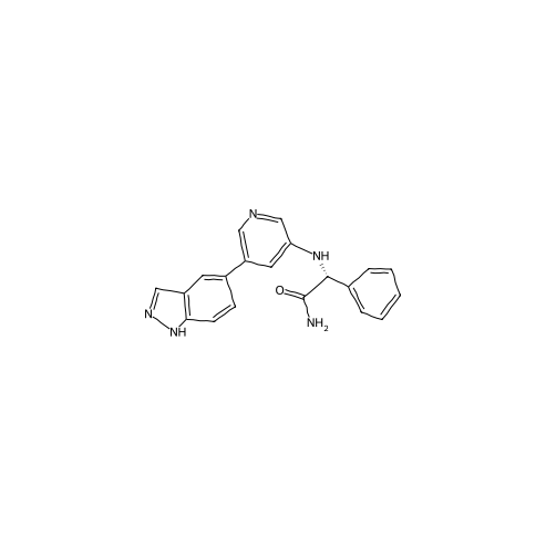 NC(=O)[C@H](Nc1cncc(-c2ccc3[nH]ncc3c2)c1)c1ccccc1